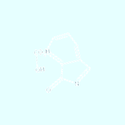 O=C(O)O.O=C1N=Cc2ccccc21